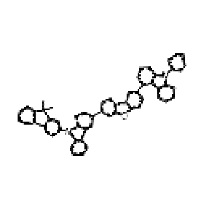 CC1(C)c2ccccc2-c2ccc(-n3c4ccccc4c4cc(-c5ccc6c(c5)oc5ccc(-c7cccc8c7c7ccccc7n8-c7ccccc7)cc56)ccc43)cc21